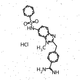 Cl.Cn1c(Cc2ccc(C(=N)N)cc2)nc2ccc(NS(=O)(=O)c3ccccc3)cc21